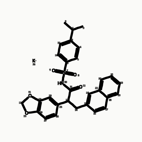 CC(C)c1ccc(S(=O)(=O)NC(=O)C(Cc2ccc3ccccc3c2)c2ccc3c(c2)OCO3)cc1.[K]